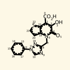 O=C(O)c1c(O)c(=O)n(Cc2ncn(-c3ccccc3)n2)c2ccsc12